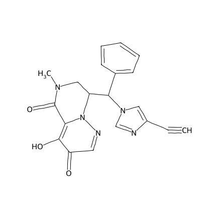 C#Cc1cn(C(c2ccccc2)C2CN(C)C(=O)c3c(O)c(=O)cnn32)cn1